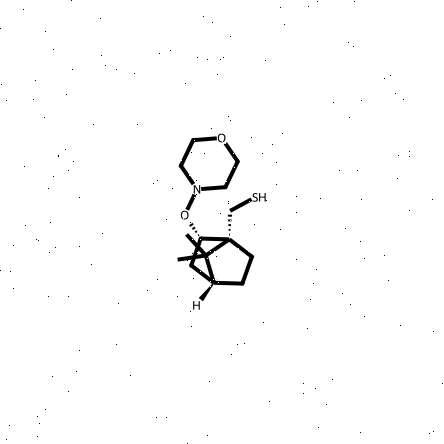 CC1(C)[C@@H]2CC[C@]1(CS)[C@@H](ON1CCOCC1)C2